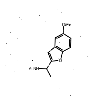 COc1ccc2oc(C(C)NC(C)=O)cc2c1